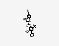 CC(C)(C)c1cc(C2CCCC2)c(O)cc1NC(=O)[C@@H]1CNc2cc(C#N)ccc2O1